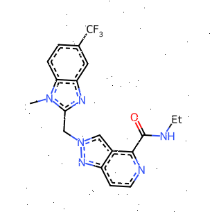 CCNC(=O)c1nccc2nn(Cc3nc4cc(C(F)(F)F)ccc4n3C)cc12